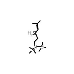 CC(C)=C[SiH2]CCN([Si](C)(C)C)[Si](C)(C)C